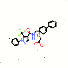 O=C(O)COC1(CNC(=O)c2cnn(-c3ccccc3)c2C(F)(F)F)C=CC(c2ccccc2)=CC1